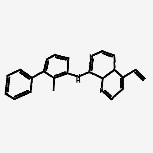 C=CC1=CC=NC2C(Nc3cccc(-c4ccccc4)c3C)=NC=CC12